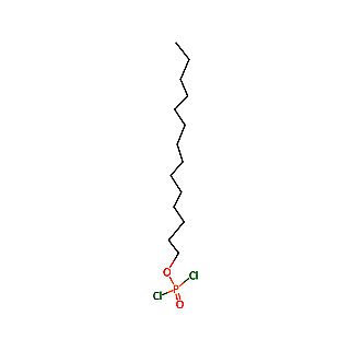 CCCCCCCCCCCCCCOP(=O)(Cl)Cl